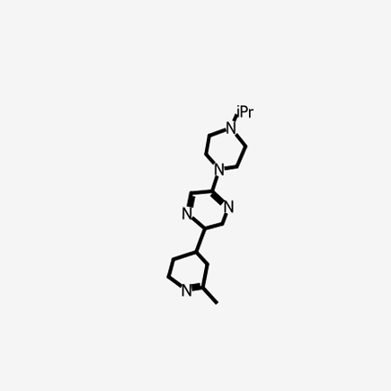 CC1=NCCC(C2CN=C(N3CCN(C(C)C)CC3)C=N2)C1